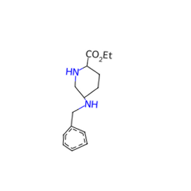 CCOC(=O)C1CCC(NCc2ccccc2)CN1